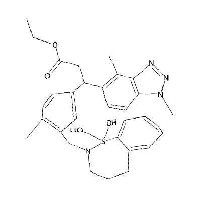 CCOC(=O)CC(c1ccc(C)c(CN2CCCc3ccccc3S2(O)O)c1)c1ccc2c(nnn2C)c1C